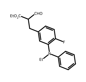 CCOC(=O)C(C=O)Cc1ccc(F)c(N(CC)c2ccccc2)c1